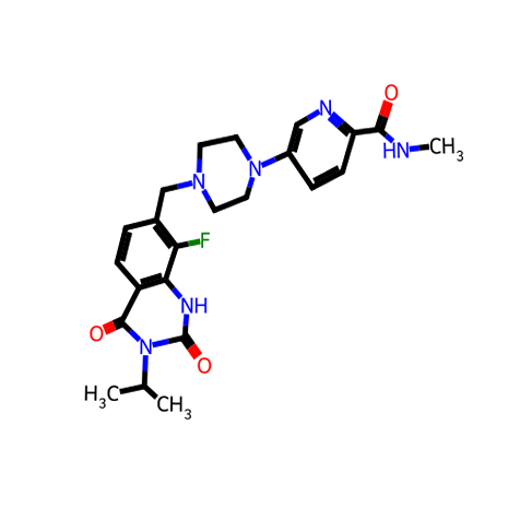 CNC(=O)c1ccc(N2CCN(Cc3ccc4c(=O)n(C(C)C)c(=O)[nH]c4c3F)CC2)cn1